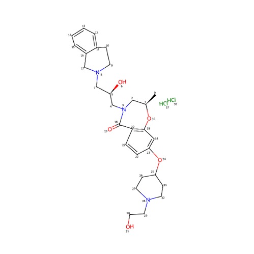 C[C@@H]1CN(C[C@H](O)CN2CCc3ccccc3C2)C(=O)c2ccc(OC3CCN(CCO)CC3)cc2O1.Cl.Cl